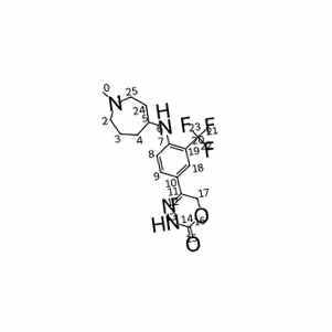 CN1CCCC(Nc2ccc(C3=NNC(=O)OC3)cc2C(F)(F)F)CC1